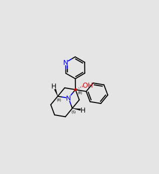 O[C@@]1(c2cccnc2)C[C@H]2CCC[C@@H](C1)N2Cc1ccccc1